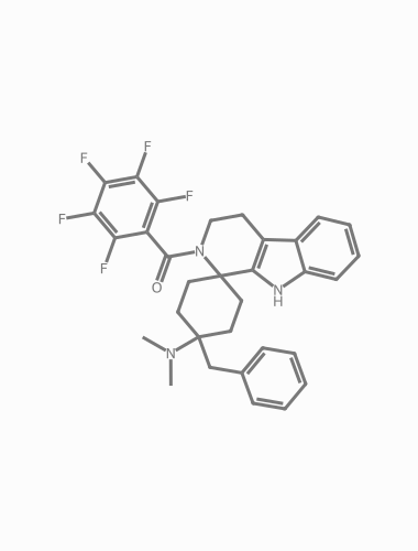 CN(C)C1(Cc2ccccc2)CCC2(CC1)c1[nH]c3ccccc3c1CCN2C(=O)c1c(F)c(F)c(F)c(F)c1F